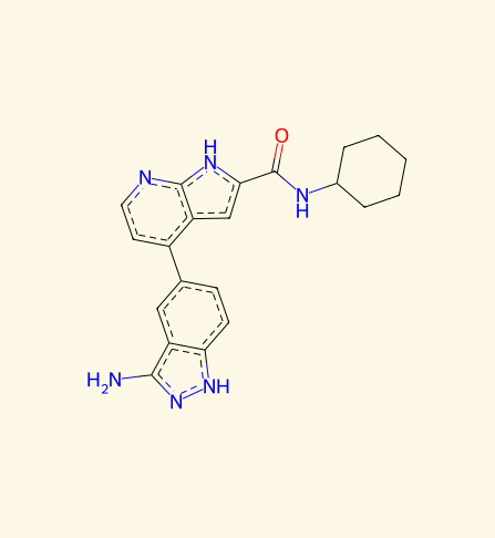 Nc1n[nH]c2ccc(-c3ccnc4[nH]c(C(=O)NC5CCCCC5)cc34)cc12